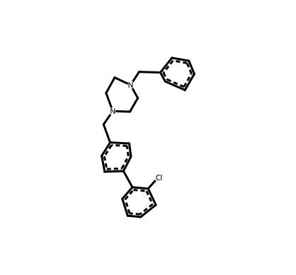 Clc1ccccc1-c1ccc(CN2CCN(Cc3ccccc3)CC2)cc1